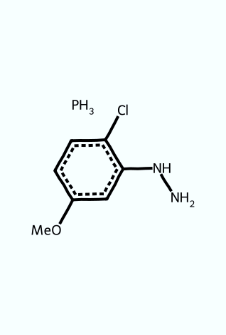 COc1ccc(Cl)c(NN)c1.P